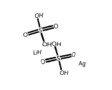 O=S(=O)(O)O.O=S(=O)(O)O.[Ag].[LiH]